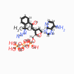 CC(C)(N=[N+]=[N-])c1ccccc1C(=O)CC1C[C@H](n2cnc3c(N)ccnc32)O[C@@H]1COP(=O)(O)OP(=O)(O)OP(=O)(O)O